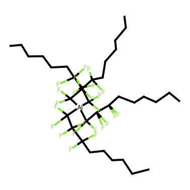 CCCCCCC(F)(F)C(F)(F)[C](F)(F)[Al-]([C](F)(F)C(F)(F)C(F)(F)CCCCCC)([C](F)(F)C(F)(F)C(F)(F)CCCCCC)[C](F)(F)C(F)(F)C(F)(F)CCCCCC